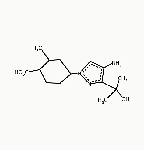 CC1CC(n2cc(N)c(C(C)(C)O)n2)CCC1C(=O)O